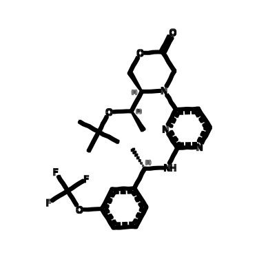 C[C@H](Nc1nccc(N2CC(=O)OC[C@@H]2[C@@H](C)OC(C)(C)C)n1)c1cccc(OC(F)(F)F)c1